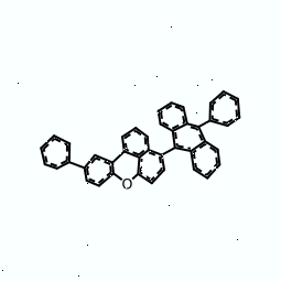 c1ccc(-c2ccc3c(c2)-c2cccc4c(-c5c6ccccc6c(-c6ccccc6)c6ccccc56)ccc(c24)O3)cc1